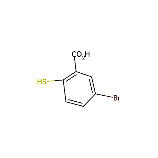 O=C(O)c1cc(Br)ccc1S